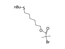 CCCCSCCCCCCOC(=O)C(C)(C)Br